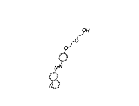 OCCOCCOc1ccc(N=Nc2ccc3ncccc3c2)cc1